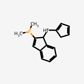 CP(C)C1=Cc2ccccc2[CH]1[Hf][C]1=CC=CC1